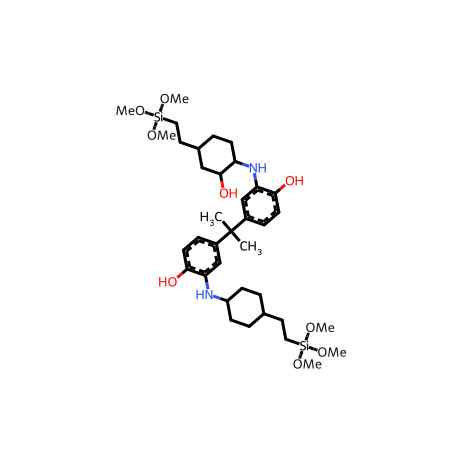 CO[Si](CCC1CCC(Nc2cc(C(C)(C)c3ccc(O)c(NC4CCC(CC[Si](OC)(OC)OC)CC4O)c3)ccc2O)CC1)(OC)OC